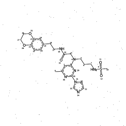 Cc1cc(N(CCCNS(C)(=O)=O)CC(=O)NCCc2ccc3c(c2)OCCO3)nc(-n2ccnc2)n1